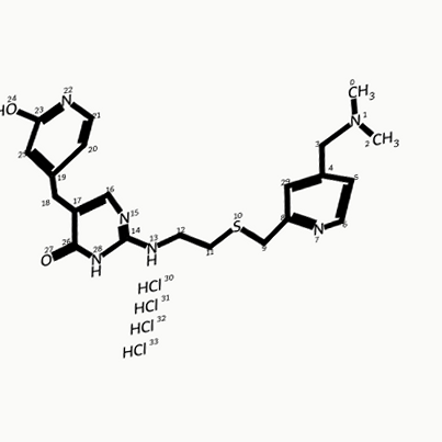 CN(C)Cc1ccnc(CSCCNc2ncc(Cc3ccnc(O)c3)c(=O)[nH]2)c1.Cl.Cl.Cl.Cl